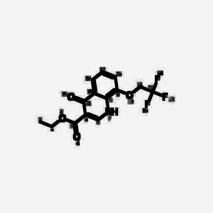 CCOC(=O)c1c[nH]c2c(OCC(F)(F)F)cccc2c1=O